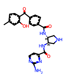 Cc1ccc(C(=O)c2ccc(C(=O)N[C@@H]3CNC[C@H]3NC(=O)c3ccnc(N)n3)cc2)c(O)c1